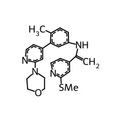 C=C(Nc1ccc(C)c(-c2ccnc(N3CCOCC3)c2)c1)c1ccnc(SC)c1